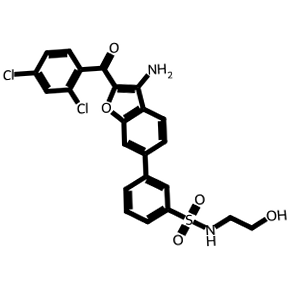 Nc1c(C(=O)c2ccc(Cl)cc2Cl)oc2cc(-c3cccc(S(=O)(=O)NCCO)c3)ccc12